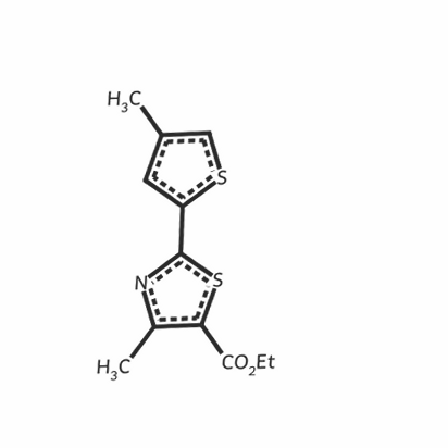 CCOC(=O)c1sc(-c2cc(C)cs2)nc1C